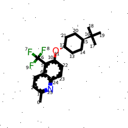 Cc1ccc2c(C(F)(F)F)c(O[C@H]3CC[C@H](C(C)(C)C)CC3)ccc2n1